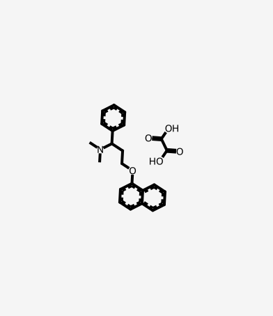 CN(C)C(CCOc1cccc2ccccc12)c1ccccc1.O=C(O)C(=O)O